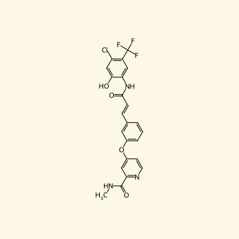 CNC(=O)c1cc(Oc2cccc(C=CC(=O)Nc3cc(C(F)(F)F)c(Cl)cc3O)c2)ccn1